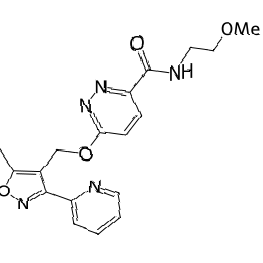 COCCNC(=O)c1ccc(OCc2c(-c3ccccn3)noc2C)nn1